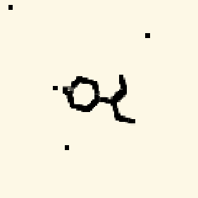 C/C=C(/CC)N1CCOCC1